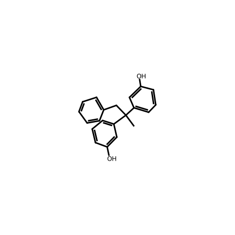 CC(Cc1ccccc1)(c1cccc(O)c1)c1cccc(O)c1